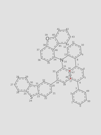 c1ccc(-c2ccc(-c3ccccc3N(c3cccc(-c4ccc5sc6ccccc6c5c4)c3)c3cccc4oc5ccccc5c34)cc2)cc1